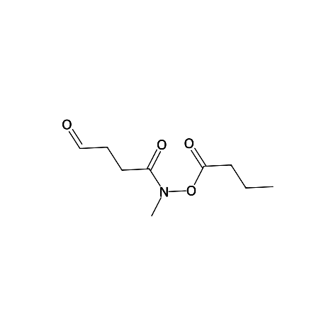 CCCC(=O)ON(C)C(=O)CCC=O